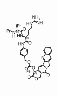 CC[C@@]1(OC(=O)OCc2ccc(NC(=O)[C@H](CCCNC(=N)N)NC(=O)[C@@H](NC(C)C)C(C)C)cc2)C(=O)OCc2c1cc1n(c2=O)Cc2cc3ccccc3nc2-1